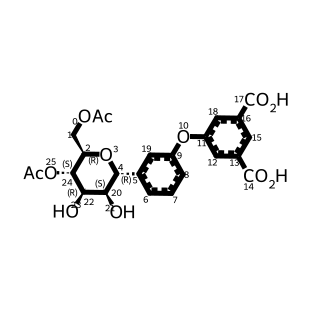 CC(=O)OC[C@H]1O[C@H](c2cccc(Oc3cc(C(=O)O)cc(C(=O)O)c3)c2)[C@@H](O)[C@@H](O)[C@@H]1OC(C)=O